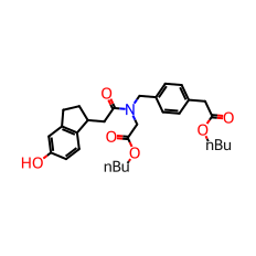 CCCCOC(=O)Cc1ccc(CN(CC(=O)OCCCC)C(=O)CC2CCc3cc(O)ccc32)cc1